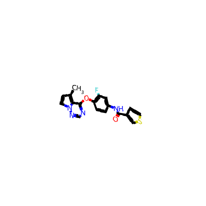 Cc1ccn2ncnc(Oc3ccc(NC(=O)c4ccsc4)cc3F)c12